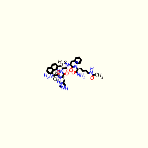 CC(=O)NCCCC[C@H](NC(=O)C(Cc1ccccc1)N(C)C(=O)[C@@H](Cc1ccc2ccccc2c1)NC(=O)[C@H](Cc1c[nH]cn1)NC(=O)C(C)(C)N)C(N)=O